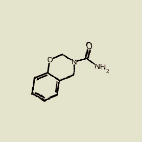 NC(=O)N1COc2ccccc2C1